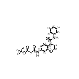 CC(C)(C)OC(=O)CC(=O)Nc1cnc2c(c1)OCCN2C(=O)Nc1ccccc1